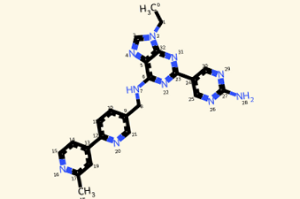 CCn1cnc2c(NCc3ccc(-c4ccnc(C)c4)nc3)nc(-c3cnc(N)nc3)nc21